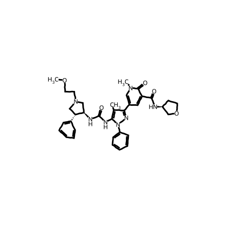 COCCN1C[C@@H](NC(=O)Nc2c(C)c(-c3cc(C(=O)N[C@H]4CCOC4)c(=O)n(C)c3)nn2-c2ccccc2)[C@H](c2ccccc2)C1